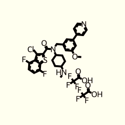 CNC1CCC(N(Cc2cc(OC)cc(-c3ccncc3)c2)C(=O)c2sc3c(F)ccc(F)c3c2Cl)CC1.O=C(O)C(F)(F)F.O=C(O)C(F)(F)F